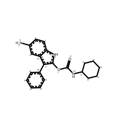 Nc1ccc2[nH]c(OC(=O)NC3CCCCC3)c(-c3ccccc3)c2c1